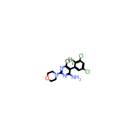 Nc1nc(N2CCOCC2)nc(C(F)(F)F)c1-c1cc(Cl)cc(Cl)c1Cl